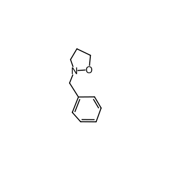 c1ccc(CN2CCCO2)cc1